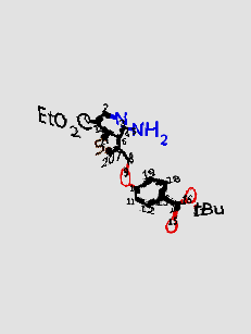 CCOC(=O)c1cnc(N)c2c(COc3ccc(C(=O)OC(C)(C)C)cc3)csc12